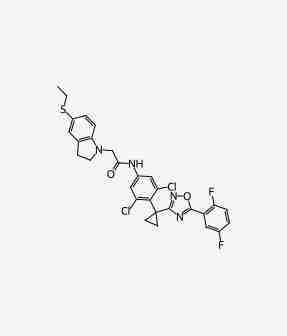 CCSc1ccc2c(c1)CCN2CC(=O)Nc1cc(Cl)c(C2(c3noc(-c4cc(F)ccc4F)n3)CC2)c(Cl)c1